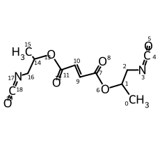 CC(CN=C=O)OC(=O)/C=C/C(=O)OC(C)CN=C=O